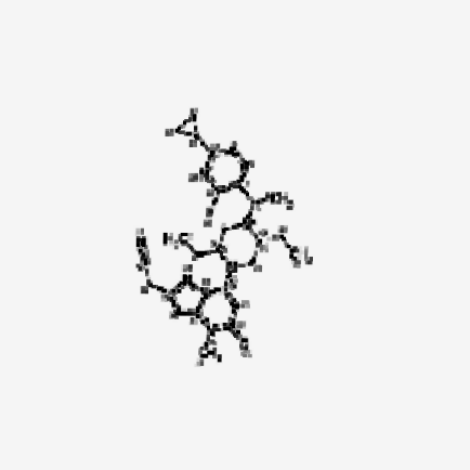 CC[C@H]1CN(C(C)c2ccc(C3CC3)nc2F)[C@H](CC)CN1c1cc(=O)n(C)c2cc(CC#N)nn12